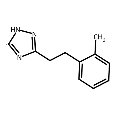 Cc1ccccc1CCc1n[c][nH]n1